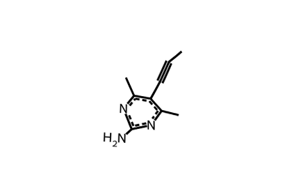 CC#Cc1c(C)nc(N)nc1C